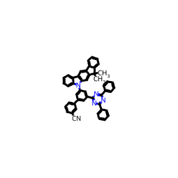 CC1(C)c2ccccc2-c2cc3c4ccccc4n(-c4cc(-c5cccc(C#N)c5)cc(-c5nc(-c6ccccc6)nc(-c6ccccc6)n5)c4)c3cc21